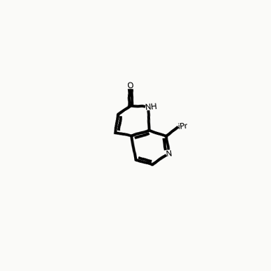 CC(C)c1nccc2ccc(=O)[nH]c12